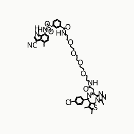 Cc1sc2c(c1C)C(c1ccc(Cl)cc1)=N[C@@H](CC(=O)NCCOCCOCCOCCOCCNC(=O)c1cccc(S(=O)(=O)Nc3ccc(C)c4c(C#N)c[nH]c34)c1)c1nnc(C)n1-2